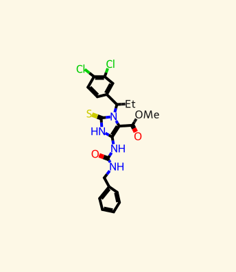 CCC(c1ccc(Cl)c(Cl)c1)n1c(C(=O)OC)c(NC(=O)NCc2ccccc2)[nH]c1=S